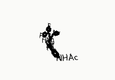 CC(=O)Nc1ccc(-c2nsc(NC(=O)N(CCc3ccccn3)CCC(c3ccc(F)cc3)c3ccc(F)cc3)n2)cc1